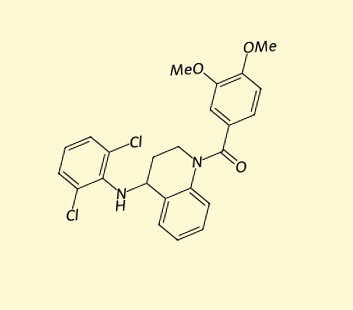 COc1ccc(C(=O)N2CCC(Nc3c(Cl)cccc3Cl)c3ccccc32)cc1OC